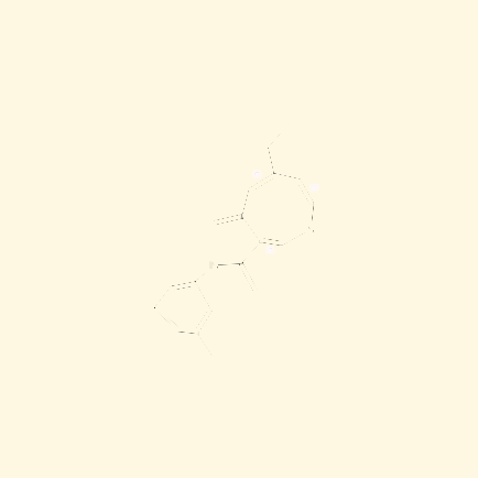 C=C1/C=C(CP)\C=C/N/C=C\1C(=C)Nc1cccc(C)c1